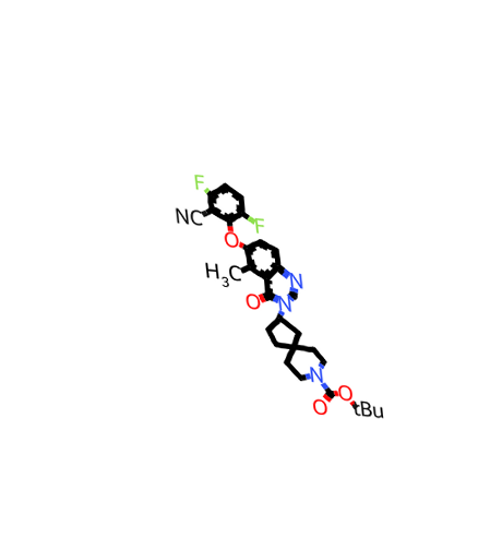 Cc1c(Oc2c(F)ccc(F)c2C#N)ccc2ncn(C3CCC4(CCN(C(=O)OC(C)(C)C)CC4)C3)c(=O)c12